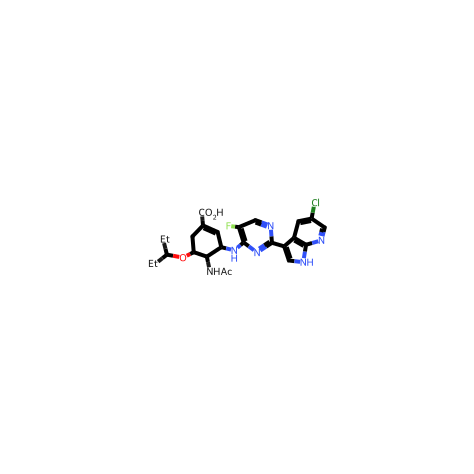 CCC(CC)OC1CC(C(=O)O)=CC(Nc2nc(-c3c[nH]c4ncc(Cl)cc34)ncc2F)C1NC(C)=O